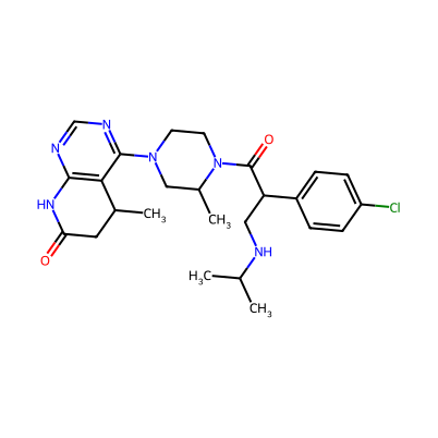 CC(C)NCC(C(=O)N1CCN(c2ncnc3c2C(C)CC(=O)N3)CC1C)c1ccc(Cl)cc1